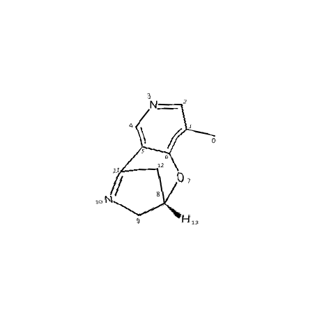 Cc1cncc2c1O[C@@H]1CN=C2C1